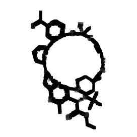 CCOC(=O)[C@@H](OC(C)(C)C)c1c(C)nc2cc3nn2c1N1CCC(C)(CC1)OCC=CC[C@H](C)Oc1ccc(C(C)=O)cc1-c1cccc-3c1